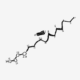 C#C.CCCCCCCCCCCOOOO